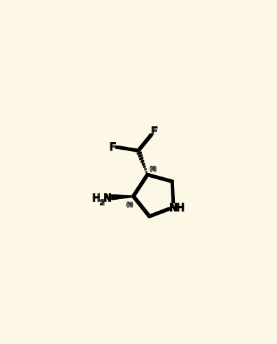 N[C@@H]1CNC[C@H]1C(F)F